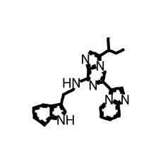 CCC(C)c1cnc2c(NCCc3c[nH]c4ccccc34)nc(-c3cnc4ccccn34)cn12